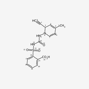 C#CC1C=C(C)N=CN1NC(=O)NS(=O)(=O)c1ccccc1C(=O)O